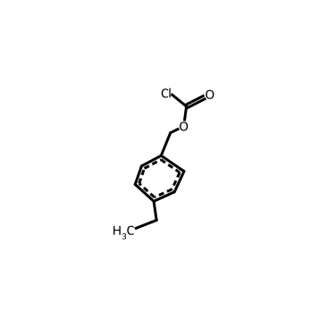 CCc1ccc(COC(=O)Cl)cc1